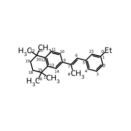 CCc1[c]ccc(C=C(C)c2ccc3c(c2)C(C)(C)CCC3(C)C)c1